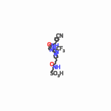 N#Cc1ccc(CCNC(=O)[C@@H]2CCN2c2cc(N3CCC(CCCC(=O)NCCCS(=O)(=O)O)CC3)nc(C(F)(F)F)n2)cc1